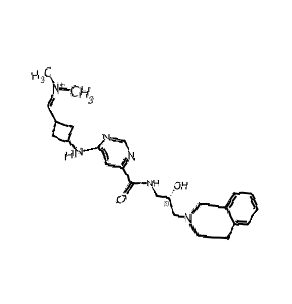 C[N+](C)=CC1CC(Nc2cc(C(=O)NC[C@H](O)CN3CCc4ccccc4C3)ncn2)C1